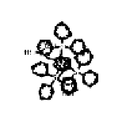 CC(C)(C)P(C[C]12[C]3(CP(C(C)(C)C)C(C)(C)C)[C]4([Si](c5ccccc5)(c5ccccc5)c5ccccc5)[CH]5[C]1([Si](c1ccccc1)(c1ccccc1)c1ccccc1)[Fe]52341678[CH]2[CH]1[CH]6[C]7([Si](c1ccccc1)(c1ccccc1)c1ccccc1)[CH]28)C(C)(C)C